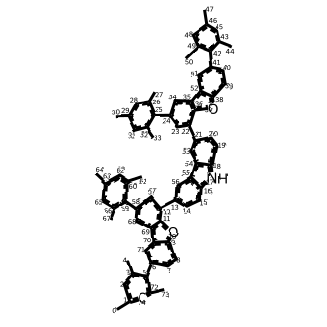 Cc1cc(C)c(-c2ccc3oc4c(-c5ccc6[nH]c7ccc(-c8cc(-c9c(C)cc(C)cc9C)cc9c8oc8ccc(-c%10c(C)cc(C)cc%10C)cc89)cc7c6c5)cc(-c5c(C)cc(C)cc5C)cc4c3c2)c(C)c1